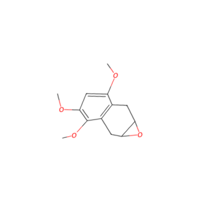 COc1cc(OC)c(OC)c2c1CC1OC1C2